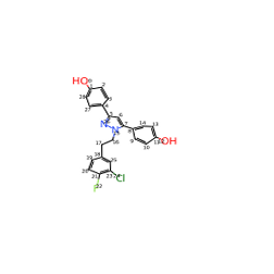 Oc1ccc(-c2cc(-c3ccc(O)cc3)n(CCc3ccc(F)c(Cl)c3)n2)cc1